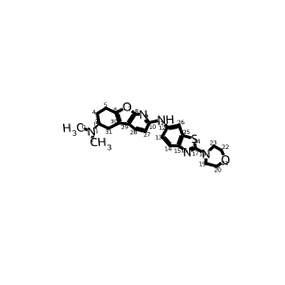 CN(C)[C@H]1CCc2oc3nc(Nc4ccc5nc(N6CCOCC6)sc5c4)ccc3c2C1